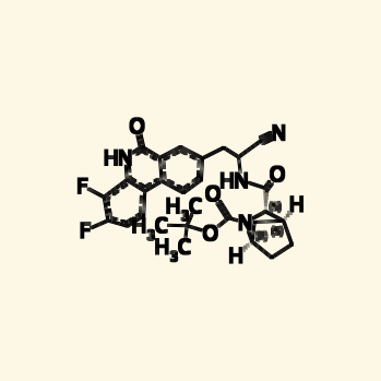 CC(C)(C)OC(=O)N1[C@@H]2CC[C@@H](C2)[C@H]1C(=O)NC(C#N)Cc1ccc2c(c1)c(=O)[nH]c1c(F)c(F)ccc12